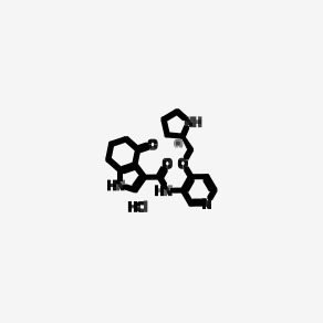 Cl.O=C(Nc1cnccc1OC[C@H]1CCCN1)c1c[nH]c2c1C(=O)CCC2